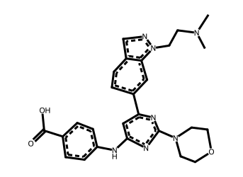 CN(C)CCn1ncc2ccc(-c3cc(Nc4ccc(C(=O)O)cc4)nc(N4CCOCC4)n3)cc21